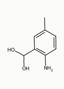 Cc1ccc(N)c(C(O)O)c1